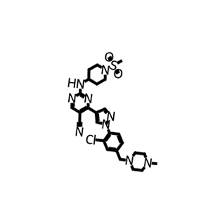 CN1CCN(Cc2ccc(-n3cc(-c4nc(NC5CCN(S(C)(=O)=O)CC5)ncc4C#N)cn3)c(Cl)c2)CC1